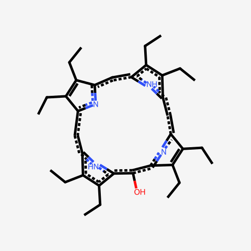 CCC1=C(CC)c2cc3[nH]c(c(O)c4nc(cc5[nH]c(cc1n2)c(CC)c5CC)C(CC)=C4CC)c(CC)c3CC